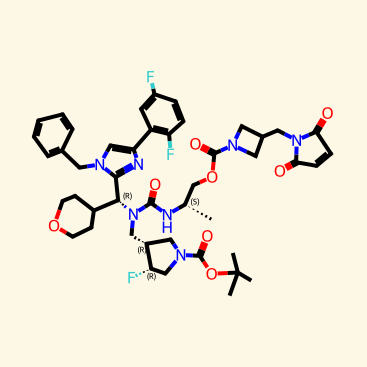 C[C@@H](COC(=O)N1CC(CN2C(=O)C=CC2=O)C1)NC(=O)N(C[C@@H]1CN(C(=O)OC(C)(C)C)C[C@@H]1F)[C@@H](c1nc(-c2cc(F)ccc2F)cn1Cc1ccccc1)C1CCOCC1